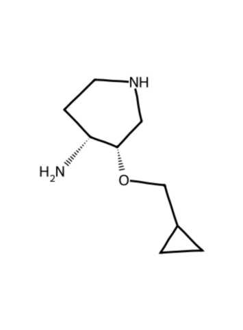 N[C@@H]1CCNC[C@@H]1OCC1CC1